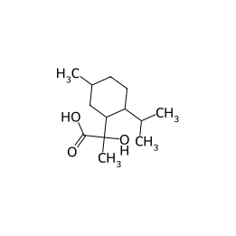 CC1CCC(C(C)C)C(C(C)(O)C(=O)O)C1